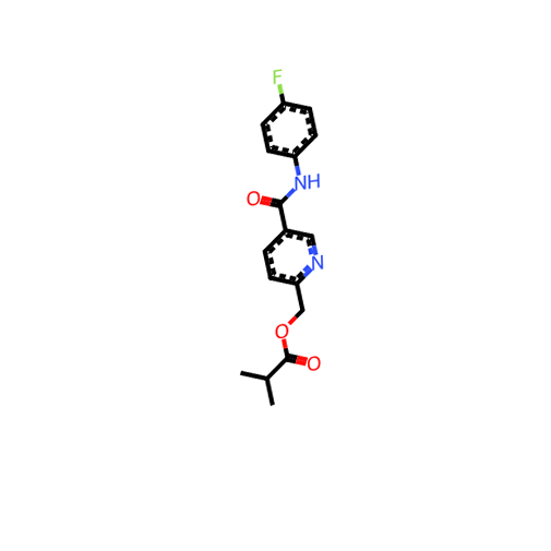 CC(C)C(=O)OCc1ccc(C(=O)Nc2ccc(F)cc2)cn1